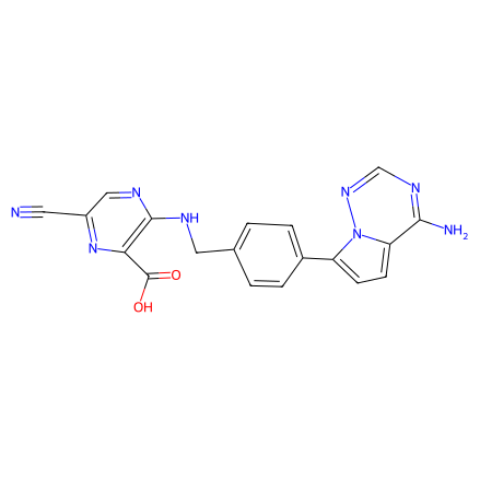 N#Cc1cnc(NCc2ccc(-c3ccc4c(N)ncnn34)cc2)c(C(=O)O)n1